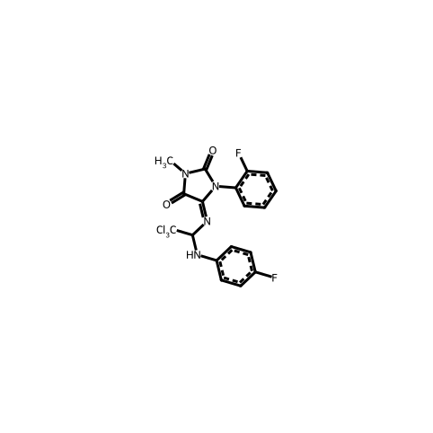 CN1C(=O)C(=NC(Nc2ccc(F)cc2)C(Cl)(Cl)Cl)N(c2ccccc2F)C1=O